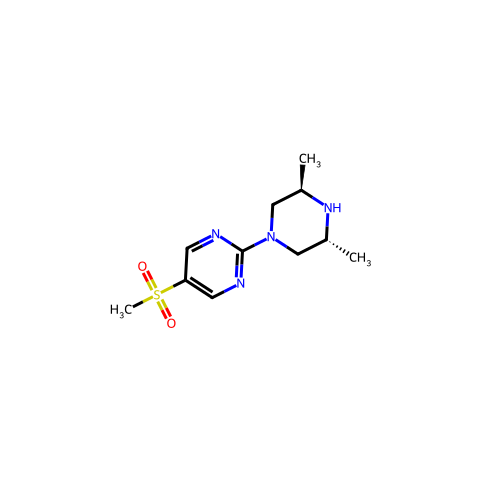 C[C@@H]1CN(c2ncc(S(C)(=O)=O)cn2)C[C@@H](C)N1